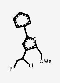 COCc1oc(-c2ccccc2)cc1C(Cl)CC(C)C